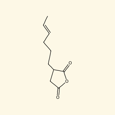 CC=CCCCC1CC(=O)OC1=O